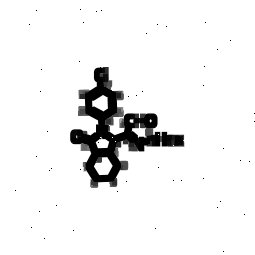 CCCCCCN=C(C=O)C1C2=C(CCCC2)C(=O)N1c1ccc(Cl)cc1